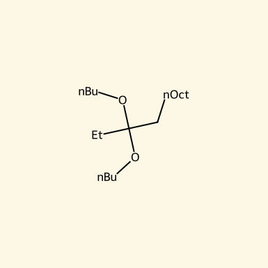 CCCCCCCCCC(CC)(OCCCC)OCCCC